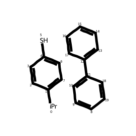 CC(C)c1ccc(S)cc1.c1ccc(-c2ccccc2)cc1